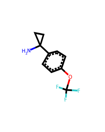 NC1(c2ccc(OC(F)(F)F)cc2)CC1